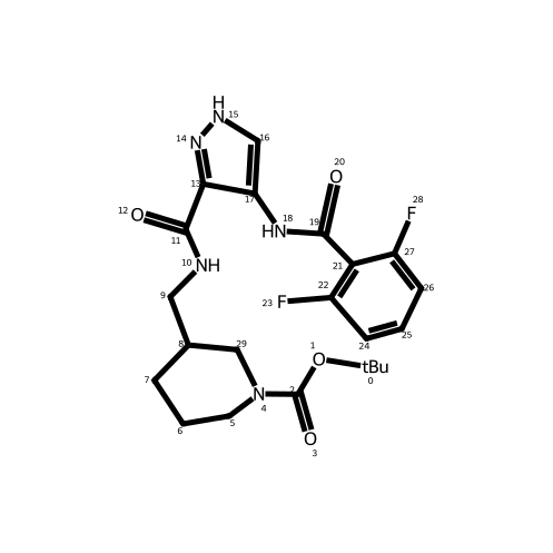 CC(C)(C)OC(=O)N1CCCC(CNC(=O)c2n[nH]cc2NC(=O)c2c(F)cccc2F)C1